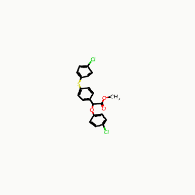 COC(=O)C(Oc1ccc(Cl)cc1)c1ccc(Sc2ccc(Cl)cc2)cc1